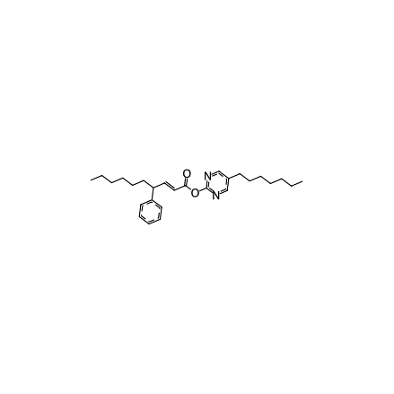 CCCCCCCc1cnc(OC(=O)/C=C/C(CCCCCC)c2ccccc2)nc1